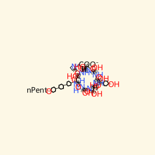 CCCCCOc1ccc(-c2ccc(-c3ccc(C(=O)N[C@H]4C[C@@H](O)[C@@H](OC[C@H]5CCC[N+]5(C)CCC(=O)[O-])NC(=O)[C@@H]5[C@@H](O)[C@@H](C)CN5C(=O)[C@H]([C@@H](C)O)NC(=O)[C@H]([C@H](O)[C@@H](O)c5ccc(O)cc5)NC(=O)[C@@H]5C[C@@H](O)CN5C(=O)[C@H]([C@@H](C)O)NC4=O)cc3)cc2)cc1